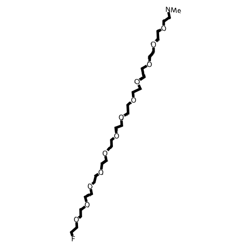 CNCCOCCOCCOCCOCCOCCOCCOCCOCCOCCOCCOCCOCCF